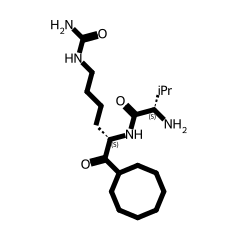 CC(C)[C@H](N)C(=O)N[C@@H](CCCCNC(N)=O)C(=O)C1CCCCCCC1